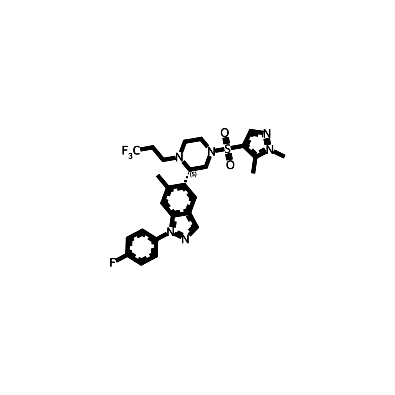 Cc1cc2c(cnn2-c2ccc(F)cc2)cc1[C@H]1CN(S(=O)(=O)c2cnn(C)c2C)CCN1CCC(F)(F)F